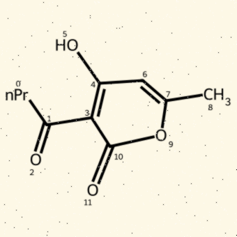 CCCC(=O)c1c(O)cc(C)oc1=O